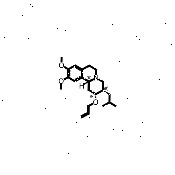 C=CCO[C@@H]1C[C@@H]2c3cc(OC)c(OC)cc3CCN2C[C@H]1CC(C)C